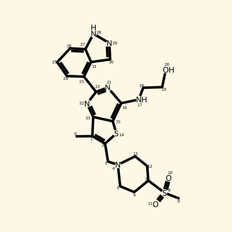 Cc1c(CN2CCC(S(C)(=O)=O)CC2)sc2c(NCCO)nc(-c3cccc4[nH]ncc34)nc12